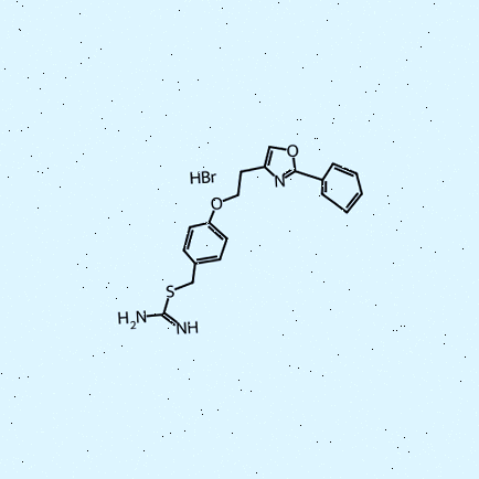 Br.N=C(N)SCc1ccc(OCCc2coc(-c3ccccc3)n2)cc1